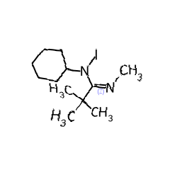 C/N=C(\N(I)C1CCCCC1)C(C)(C)C